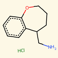 Cl.NCC1CCCOc2ccccc21